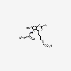 CCCCC[C@H](O)/C=C/[C@@H]1C(SCCCOCC(=O)O)=C(OC(=O)CCC)C[C@H]1O